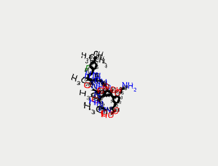 Cc1cc(-c2ccc(C(C)(C)C)cc2F)nc(N)c1C(=O)NCC(=O)N(C)[C@@H]1C(=O)N[C@@H](C)C(=O)N[C@H](C(=O)O)Cc2ccc(OCCCN)c(c2)-c2cc1cc(OCCCN)c2O